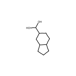 OC(O)C1CCC2CCCC2C1